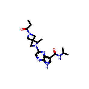 CCC(=O)N1CC2(C1)CN(c1cnc3[nH]cc(C(=O)NC(C)C)c3n1)C2C